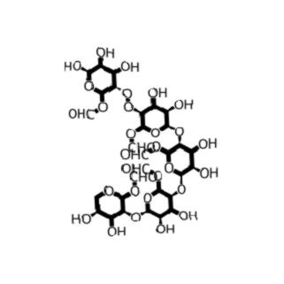 O=COC1O[C@@H](O)C(O)C(O)[C@@H]1OO[C@@H]1C(OC=O)O[C@H](O[C@@H]2C(OC=O)O[C@H](O[C@@H]3C(OC=O)O[C@H](O[C@@H]4C(OC=O)OC[C@H](O)C4O)[C@H](O)C3O)[C@H](O)C2O)[C@H](O)C1O